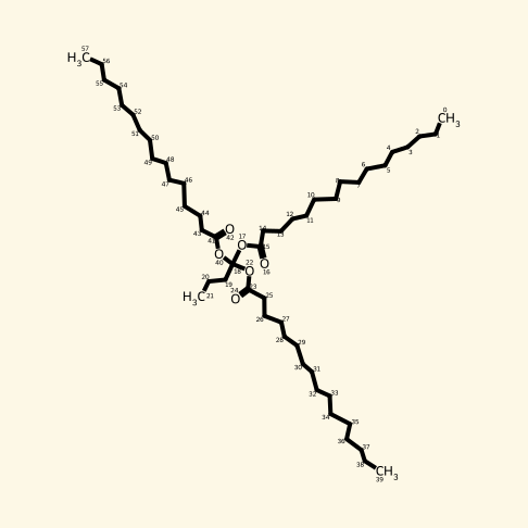 CCCCCCCCCCCCCCCC(=O)OC(CCC)(OC(=O)CCCCCCCCCCCCCCC)OC(=O)CCCCCCCCCCCCCCC